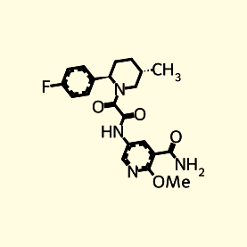 COc1ncc(NC(=O)C(=O)N2C[C@@H](C)CC[C@@H]2c2ccc(F)cc2)cc1C(N)=O